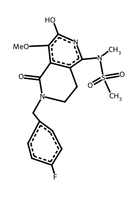 COc1c(O)nc(N(C)S(C)(=O)=O)c2c1C(=O)N(Cc1ccc(F)cc1)CC2